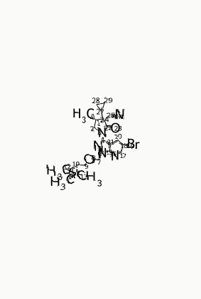 C[C@@H]1CN(c2nn(COCC[Si](C)(C)C)c3ncc(Br)cc23)C(=O)[C@]1(C#N)C1CC1